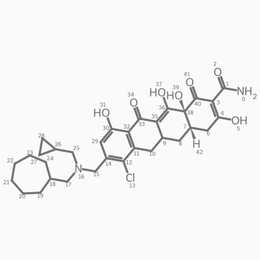 NC(=O)C1=C(O)C[C@@H]2CC3Cc4c(Cl)c(CN(CC5CCCCCC5)CC5CC5)cc(O)c4C(=O)C3=C(O)[C@]2(O)C1=O